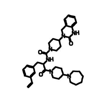 C=Cc1cccc(CC(NC(=O)N2CCC(N3Cc4ccccc4NC3=O)CC2)C(=O)N2CCC(N3CCCCCC3)CC2)c1